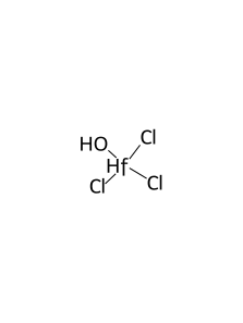 [OH][Hf]([Cl])([Cl])[Cl]